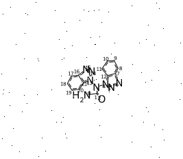 NC(=O)N(n1nnc2ccccc21)n1nnc2ccccc21